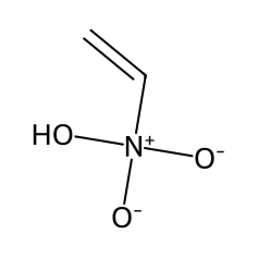 C=C[N+]([O-])([O-])O